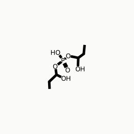 CCC(O)OP(=O)(O)OC(O)CC